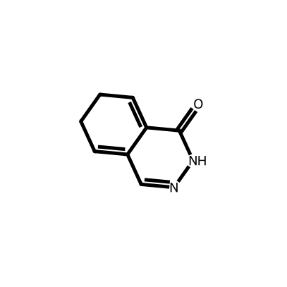 O=c1[nH]ncc2c1=CCCC=2